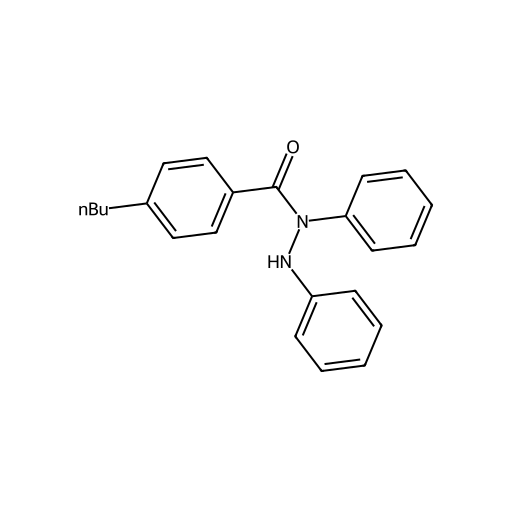 CCCCc1ccc(C(=O)N(Nc2ccccc2)c2ccccc2)cc1